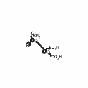 CN(C)Cc1cc(OCCCCCCc2cccc(OCCCC(=O)O)c2CCC(=O)O)cc(-c2ccncc2)c1